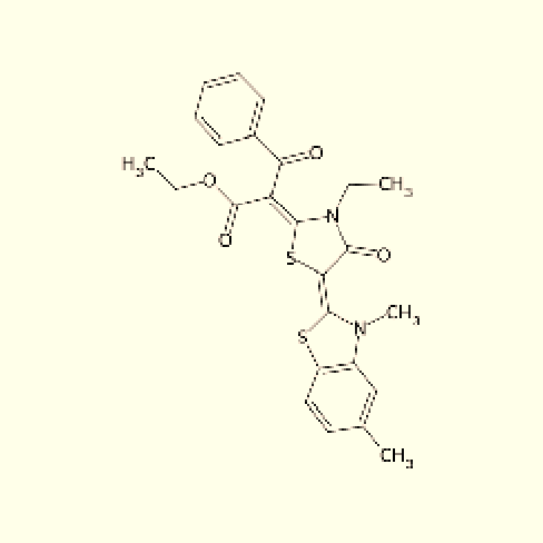 CCOC(=O)/C(C(=O)c1ccccc1)=c1\s/c(=C2\Sc3ccc(C)cc3N2C)c(=O)n1CC